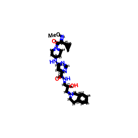 CO/N=C(\C(=O)N1CCC(Nc2cc(C(=O)NCC(O)CN3CCc4ccccc4C3)ncn2)CC1)C1CC1